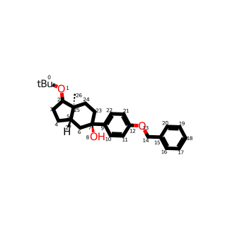 CC(C)(C)OC1CC[C@H]2C[C@@](O)(c3ccc(OCc4ccccc4)cc3)CC[C@]12C